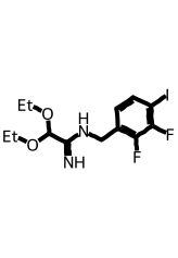 CCOC(OCC)C(=N)NCc1ccc(I)c(F)c1F